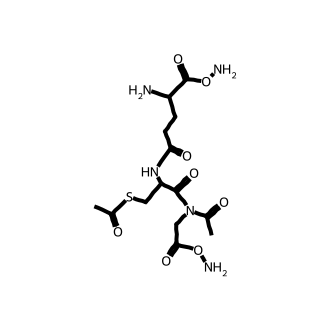 CC(=O)SCC(NC(=O)CCC(N)C(=O)ON)C(=O)N(CC(=O)ON)C(C)=O